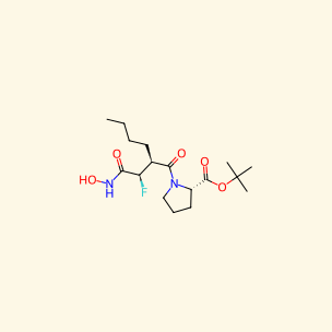 CCCC[C@@H](C(=O)N1CCC[C@H]1C(=O)OC(C)(C)C)[C@@H](F)C(=O)NO